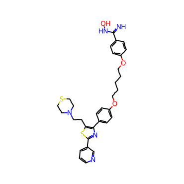 N=C(NO)c1ccc(OCCCCCOc2ccc(-c3nc(-c4cccnc4)sc3CCN3CCSCC3)cc2)cc1